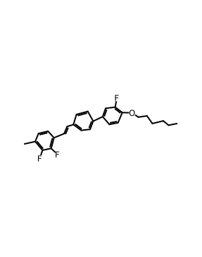 CCCCCCOc1ccc(-c2ccc(/C=C/c3ccc(C)c(F)c3F)cc2)cc1F